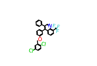 FC(F)(F)c1cccc2c(-c3cccc(OCc4cc(Cl)ccc4Cl)c3)c(-c3ccccc3)cnc12